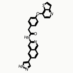 O=C(Cc1ccc(Oc2ccnc3ccsc23)cc1)Nc1cc2cc(-c3cn[nH]c3)ccc2cn1